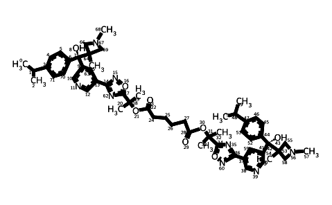 CC(C)c1ccc([C@](O)(c2cncc(-c3noc(C(C)(C)OC(=O)CCCCC(=O)OC(C)(C)c4nc(-c5cncc([C@@](O)(c6ccc(C(C)C)cc6)C6(C)CN(C)C6)c5)no4)n3)c2)C2(C)CN(C)C2)cc1